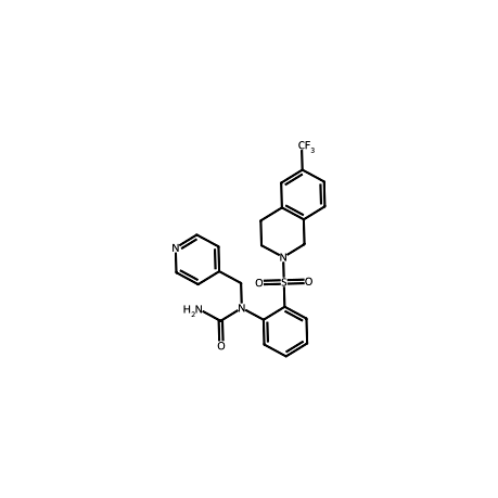 NC(=O)N(Cc1ccncc1)c1ccccc1S(=O)(=O)N1CCc2cc(C(F)(F)F)ccc2C1